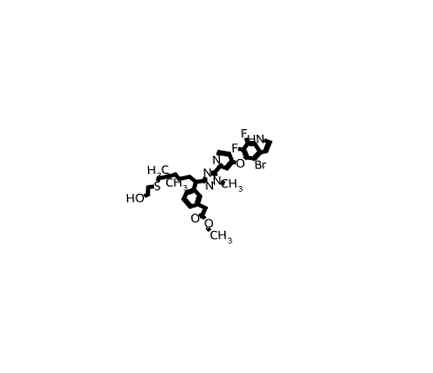 CCOC(=O)Cc1cccc(C(CCCC(C)(C)CSCCO)c2nc(-c3cc(Oc4c(F)c(F)c5[nH]ccc5c4Br)ccn3)n(C)n2)c1